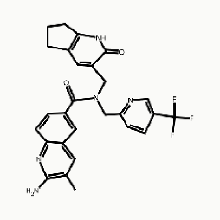 Cc1cc2cc(C(=O)N(Cc3ccc(C(F)(F)F)cn3)Cc3cc4c([nH]c3=O)CCC4)ccc2nc1N